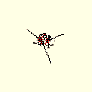 CCCCCCCCCCCCCC(c1cc(C(C)(C)C)c(O)cc1C)(c1cc(C(C)(C)C)c(O)cc1C)C(CCCCCCCCCCCCC)(CCCCCCCCCCCCC)C(c1cc(C(C)(C)C)c(O)cc1C)(c1c(C(C)(C)C)cccc1C(C)(C)C)C(c1c(C(C)(C)C)cccc1C(C)(C)C)c1c(C(C)(C)C)cccc1C(C)(C)C